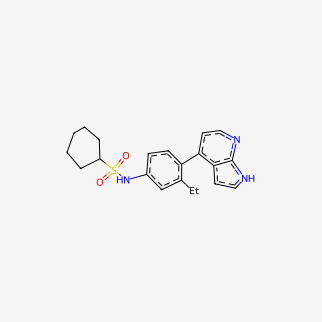 CCc1cc(NS(=O)(=O)C2CCCCC2)ccc1-c1ccnc2[nH]ccc12